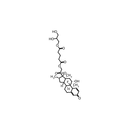 C[C@@H]1C[C@H]2[C@@H]3CCC4=CC(=O)C=C[C@]4(C)[C@@]3(F)[C@@H](O)C[C@]2(C)[C@@]1(O)C(=O)COC(=O)CCCC(=O)OCC(O)CO